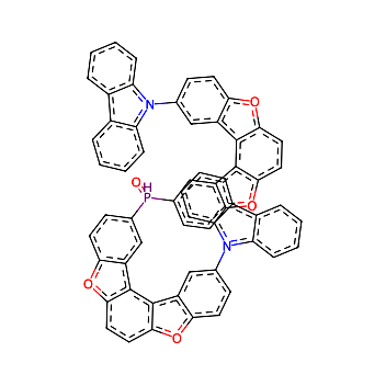 O=[PH](c1ccc2oc3ccc4oc5ccc(-n6c7ccccc7c7ccccc76)cc5c4c3c2c1)c1ccc2oc3ccc4oc5ccc(-n6c7ccccc7c7ccccc76)cc5c4c3c2c1